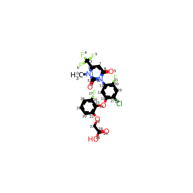 Cn1c(C(F)(F)F)cc(=O)n(-c2cc(Oc3c(F)cccc3OCC(=O)O)c(Cl)cc2F)c1=O